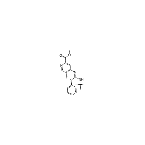 COC(=O)c1cc(/N=C(/NC(C)(C)C)Sc2ccccc2)c(F)cn1